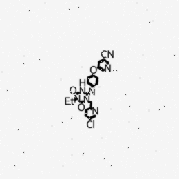 CCn1c(=O)[nH]/c(=N\c2ccc(Oc3cncc(C#N)c3)cc2)n(Cc2ccc(Cl)cn2)c1=O